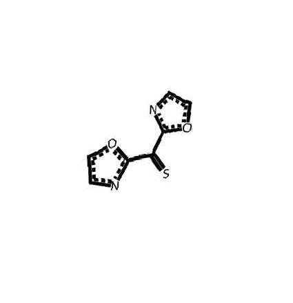 S=C(c1ncco1)c1ncco1